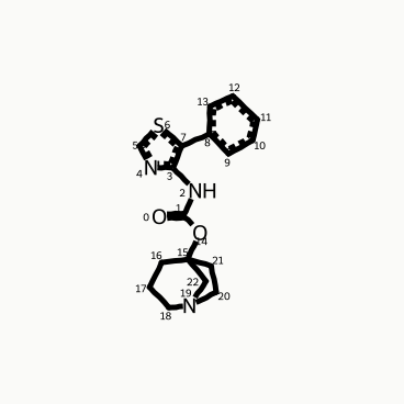 O=C(Nc1ncsc1-c1ccccc1)OC12CCCN(CC1)C2